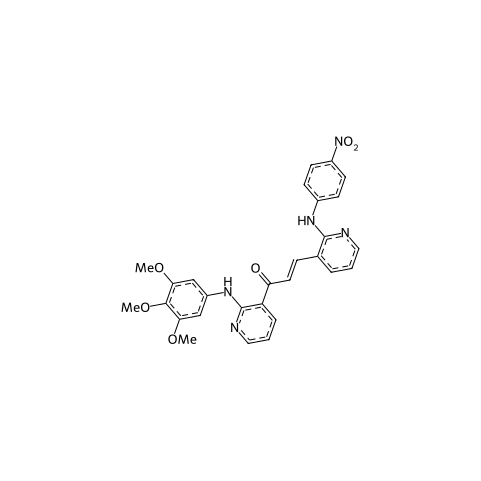 COc1cc(Nc2ncccc2C(=O)C=Cc2cccnc2Nc2ccc([N+](=O)[O-])cc2)cc(OC)c1OC